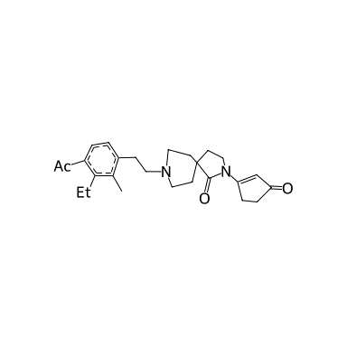 CCc1c(C(C)=O)ccc(CCN2CCC3(CC2)CCN(C2=CC(=O)CC2)C3=O)c1C